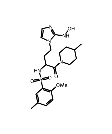 COc1ccc(C)cc1S(=O)(=O)NC(CCn1ccnc1NO)C(=O)N1CCC(C)CC1